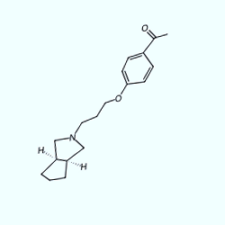 CC(=O)c1ccc(OCCCN2C[C@H]3CCC[C@H]3C2)cc1